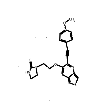 COc1ccc(C#Cc2nc3cscc3nc2OCCN2CCNC2=O)cc1